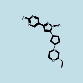 CC(C)n1nc(-c2cnc(C(F)(F)F)nc2)cc1[C@H]1CC[C@H](N2CCO[C@@H](CF)C2)C1